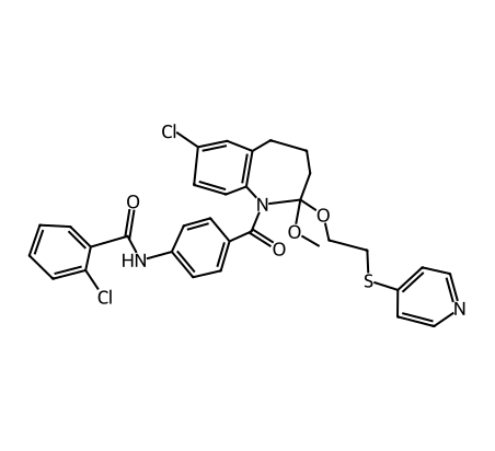 COC1(OCCSc2ccncc2)CCCc2cc(Cl)ccc2N1C(=O)c1ccc(NC(=O)c2ccccc2Cl)cc1